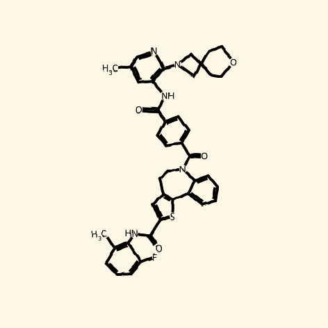 Cc1cnc(N2CC3(CCOCC3)C2)c(NC(=O)c2ccc(C(=O)N3CCc4cc(C(=O)Nc5c(C)cccc5F)sc4-c4ccccc43)cc2)c1